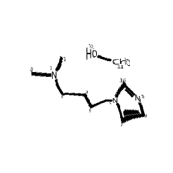 CN(C)CCCn1ccnc1.O=CO